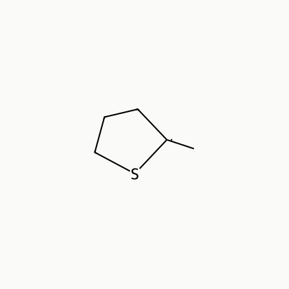 C[C]1CCCS1